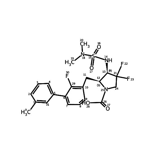 Cc1cccc(-c2cccc(C[C@H]3[C@@H](NS(=O)(=O)N(C)C)C(F)(F)CN3C(=O)O)c2F)c1